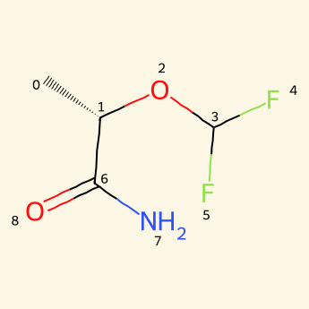 C[C@H](OC(F)F)C(N)=O